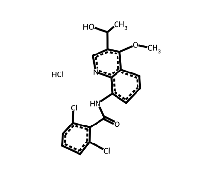 COc1c(C(C)O)cnc2c(NC(=O)c3c(Cl)cccc3Cl)cccc12.Cl